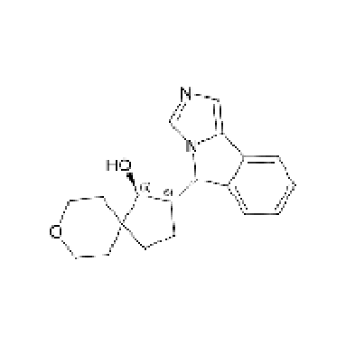 O[C@H]1[C@H](C2c3ccccc3-c3cncn32)CCC12CCOCC2